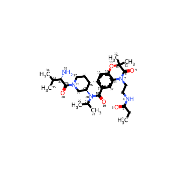 CCC(=O)NCCN1C(=O)C(C)(C)Oc2ccc(C(=O)N(C(C)C)[C@@H]3CCCN(C(=O)[C@@H](N)C(C)C)C3)cc21